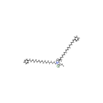 CC[N+](CC)(CCCCCCCCCCCCCCCCCCc1ccccc1)CCCCCCCCCCCCCCCCCCc1ccccc1.[Cl-]